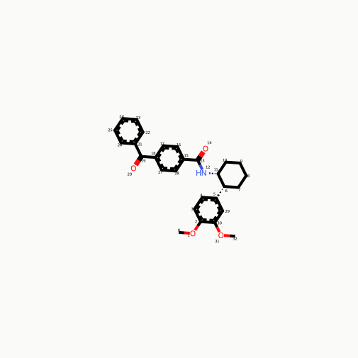 COc1ccc([C@H]2CCCC[C@H]2NC(=O)c2ccc(C(=O)c3ccccc3)cc2)cc1OC